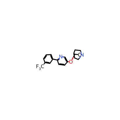 FC(F)(F)c1cccc(-c2ccc(OC3CN4CCC3CC4)cn2)c1